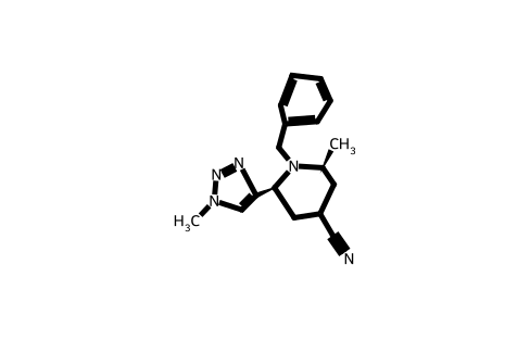 C[C@H]1CC(C#N)C[C@@H](c2cn(C)nn2)N1Cc1ccccc1